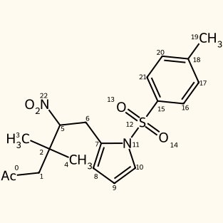 CC(=O)CC(C)(C)C(Cc1cccn1S(=O)(=O)c1ccc(C)cc1)[N+](=O)[O-]